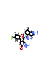 O=C1CC(c2cccc(F)c2)C(C(=O)Nc2cccc3[nH]ccc23)=CN1